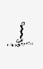 CCCCCCCCOP(=O)(OCCCCCCl)OCCCCCCCC